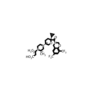 C[C@@H](CC(=O)O)N1CCN([C@@H]2CC[C@@](C(=O)N3COc4c(cc(C(F)(F)F)cc4C(F)(F)F)C3)(C3CC3)OC2)C[C@@H]1C